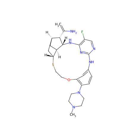 C=C(N)[C@H]1[C@H]2C[C@H]3[C@H]1Nc1nc(ncc1F)Nc1ccc(N4CCN(C)CC4)c(c1)OCCS[C@@H]3C2